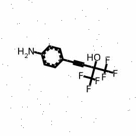 Nc1[c]cc(C#CC(O)(C(F)(F)F)C(F)(F)F)cc1